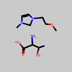 CC(O)C(N)C(=O)O.COCCN1C=CN(C)C1